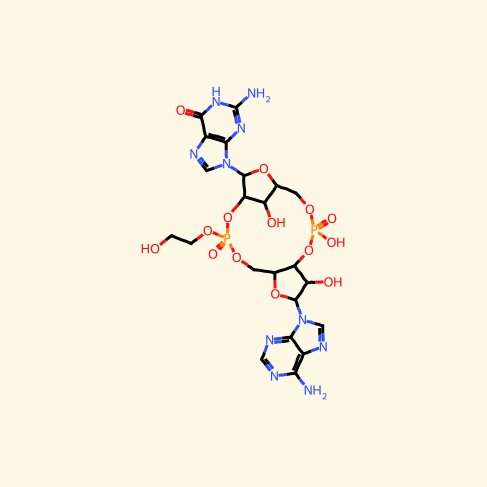 Nc1nc2c(ncn2C2OC3COP(=O)(O)OC4C(COP(=O)(OCCO)OC2C3O)OC(n2cnc3c(N)ncnc32)C4O)c(=O)[nH]1